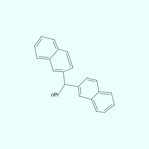 CCCC(c1ccc2ccccc2c1)c1ccc2ccccc2c1